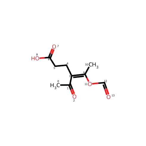 CC(=O)/C(CCC(=O)O)=C(/C)OC=O